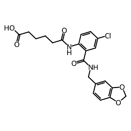 O=C(O)CCCCC(=O)Nc1ccc(Cl)cc1C(=O)NCc1ccc2c(c1)OCO2